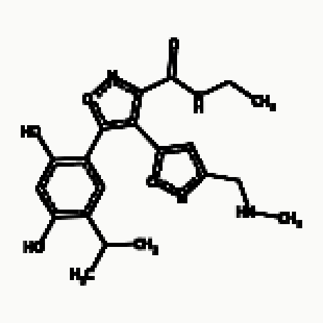 CCNC(=O)c1noc(-c2cc(C(C)C)c(O)cc2O)c1-c1cc(CNC)no1